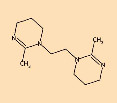 CC1=NCCCN1CCN1CCCN=C1C